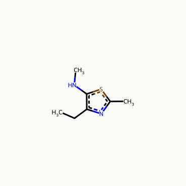 CCc1nc(C)sc1NC